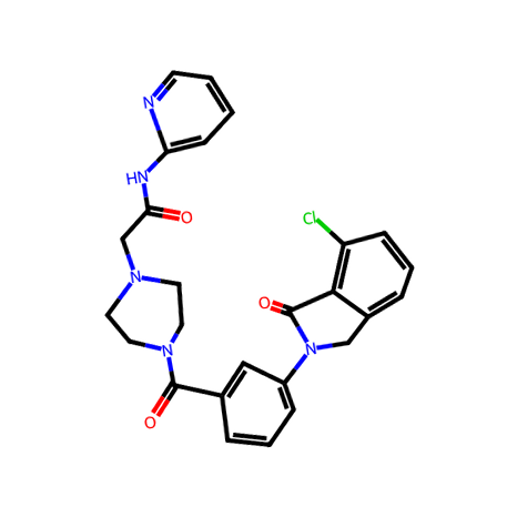 O=C(CN1CCN(C(=O)c2cccc(N3Cc4cccc(Cl)c4C3=O)c2)CC1)Nc1ccccn1